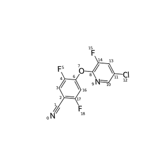 N#Cc1cc(F)c(Oc2ncc(Cl)cc2F)cc1F